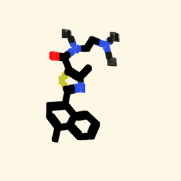 CCN(CC)CCN(CC)C(=O)c1sc(-c2ccc(C)c3ccccc23)nc1C